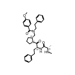 CN[C@@H](C)C(=O)N[C@@H](CCc1ccccc1)C(=O)N1CCC[C@H]1CN(CCc1ccccc1)C(=O)c1ccc(OC)cc1